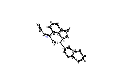 Cn1cc(Cc2ccc3ccccc3c2)c2c(/C(O)=C\C#N)cccc21